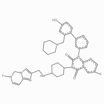 O=c1c2cc(F)cnc2n(-c2cccc(-c3ccc(O)cc3CN3CCCCC3)c2)c(=O)n1C1CCC(NCC2=C[N+]3CN(F)C=CC3=N2)CC1